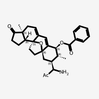 CC(=O)C(N)[C@H]1C[C@@]23CC[C@@]4(O2)C(=CC[C@]2(C)C(=O)CC[C@H]24)C=C3[C@@H](OC(=O)c2ccccc2)[C@@H]1C